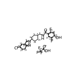 O=C(NCC1CCC(n2cc3cc(Cl)ccc3n2)CC1)c1cc(F)c(O)cc1F.O=C(O)C(F)(F)F